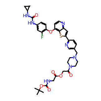 CC(C)(C)OC(=O)NCC(=O)OCC(=O)N1CCN(Cc2ccc(-c3cc4nccc(Oc5ccc(NC(=O)NC6CC6)cc5F)c4s3)nc2)CC1